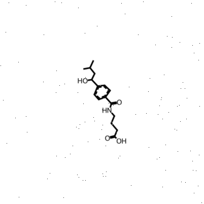 CC(C)CC(O)c1ccc(C(=O)NCCCC(=O)O)cc1